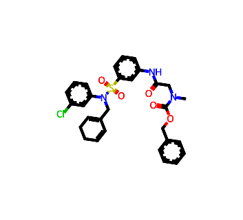 CN(CC(=O)Nc1cccc(S(=O)(=O)N(CC2=CCCC=C2)c2cccc(Cl)c2)c1)C(=O)OCc1ccccc1